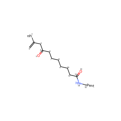 C=C(CCC)CC(=O)CCCCCCC(=O)NCCCCC